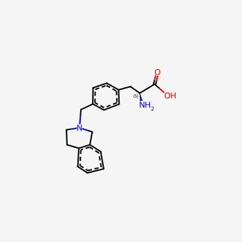 N[C@@H](Cc1ccc(CN2CCc3ccccc3C2)cc1)C(=O)O